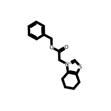 O=C(C[n+]1csc2c1CCCC2)OCc1ccccc1